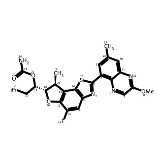 COc1cnc2c(-c3nc4cc(F)c5c(c4s3)[C@H](C)[C@@H](C(CC(C)C)OC(N)=O)O5)cc(C)cc2n1